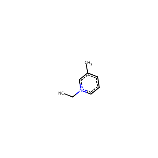 Cc1ccc[n+](CC#N)c1